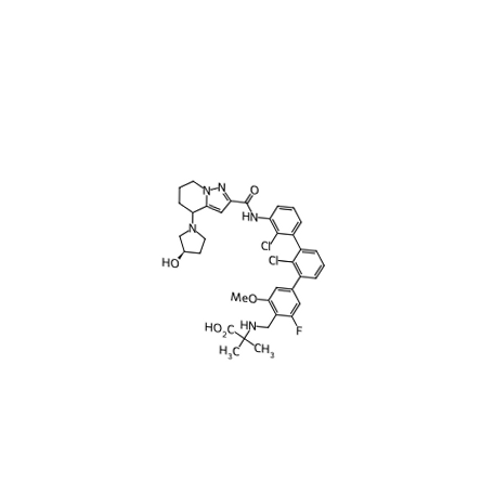 COc1cc(-c2cccc(-c3cccc(NC(=O)c4cc5n(n4)CCCC5N4CC[C@@H](O)C4)c3Cl)c2Cl)cc(F)c1CNC(C)(C)C(=O)O